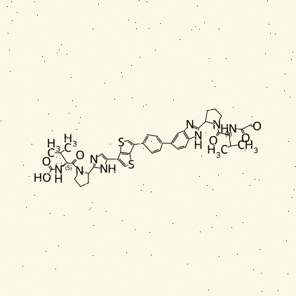 CC(C)[C@H](NC(=O)O)C(=O)N1CCCC1c1ncc(-c2csc3c(-c4ccc(-c5ccc6[nH]c(C7CCCN7C(=O)[C@H](NC(=O)C=O)C(C)C)nc6c5)cc4)csc23)[nH]1